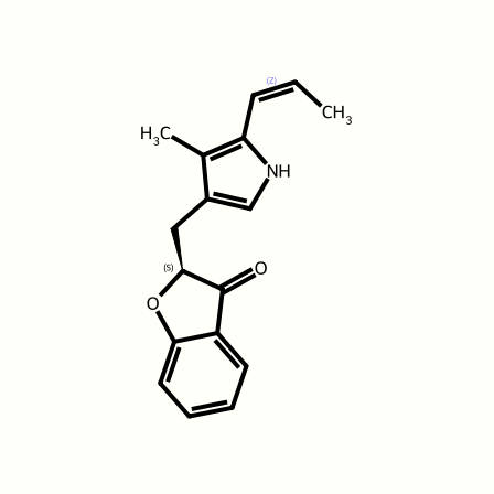 C/C=C\c1[nH]cc(C[C@@H]2Oc3ccccc3C2=O)c1C